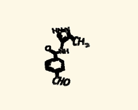 Cc1n[nH]cc1NC(=O)c1ccc(C=O)cc1